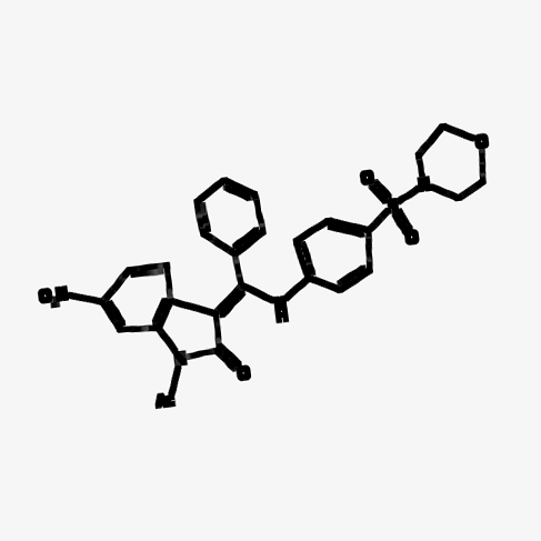 CC(=O)N1C(=O)/C(=C(\Nc2ccc(S(=O)(=O)N3CCOCC3)cc2)c2ccccc2)c2ccc([N+](=O)[O-])cc21